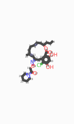 CCCC1C/C=C/CC/C(C)=C/C(=N/OCC(=O)N2CCCCC2)Cc2c(Cl)c(O)cc(O)c2C(=O)O1